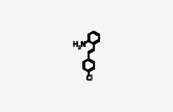 Nc1ccccc1C=Cc1ccc(Cl)cc1